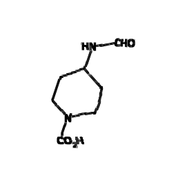 O=CNC1CCN(C(=O)O)CC1